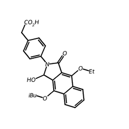 CCOc1c2c(c(OC(C)CC)c3ccccc13)C(O)N(c1ccc(CC(=O)O)cc1)C2=O